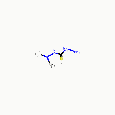 CN(C)NC(=S)NN